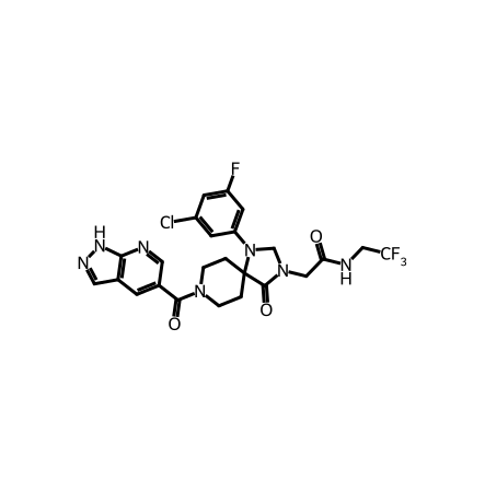 O=C(CN1CN(c2cc(F)cc(Cl)c2)C2(CCN(C(=O)c3cnc4[nH]ncc4c3)CC2)C1=O)NCC(F)(F)F